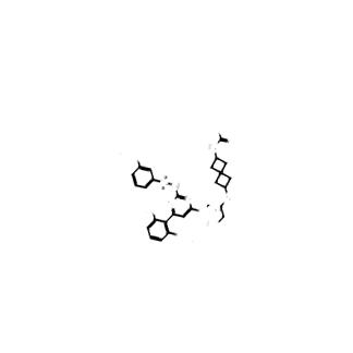 Cc1cccc(C)c1-c1cc(OC[C@@H](CC(C)C)NC2CC3(CC(NC(=O)OC(C)(C)C)C3)C2)nc(NS(=O)(=O)c2cccc(C(=O)O)c2)n1